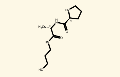 C[C@H](NC(=O)[C@@H]1CCCN1)C(=O)NCCCO